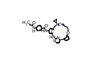 C=CC(=O)Nc1ccc(C(=O)Nc2cc3cc(c2)Nc2nccc(n2)-c2cccc(c2)OCC/C=C/CN(C2CC2)C3)cc1